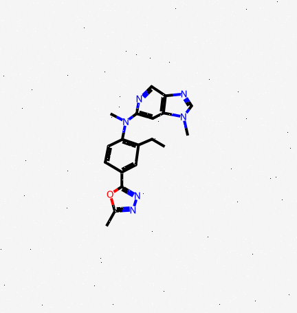 CCc1cc(-c2nnc(C)o2)ccc1N(C)c1cc2c(cn1)ncn2C